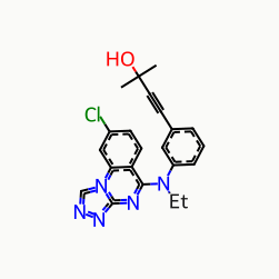 CCN(c1cccc(C#CC(C)(C)O)c1)c1nc2nncn2c2cc(Cl)ccc12